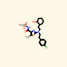 Cc1sc(N(CCc2ccc(Cl)cc2)CCC2CCCCC2O)nc1C(=O)NS(C)(=O)=O